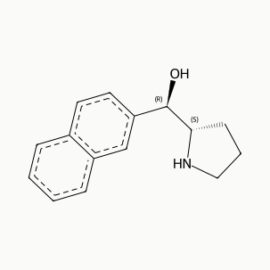 O[C@H](c1ccc2ccccc2c1)[C@@H]1CCCN1